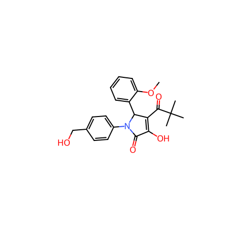 COc1ccccc1C1C(C(=O)C(C)(C)C)=C(O)C(=O)N1c1ccc(CO)cc1